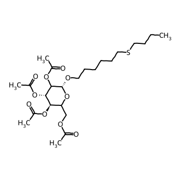 CCCCSCCCCCCO[C@@H]1OC(COC(C)=O)[C@@H](OC(C)=O)[C@H](OC(C)=O)C1OC(C)=O